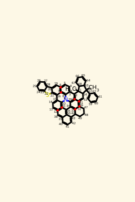 CC12C(c3ccccc3N(c3ccccc3-c3cccc4c3sc3ccccc34)c3ccccc3-c3cccc4cccc(C5CCCCC5)c34)=CC=CC1C(C)(c1ccccc1)C1C=CC=CC12